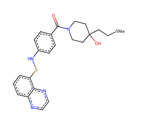 CSCCC1(O)CCN(C(=O)c2ccc(NSc3cccc4nccnc34)cc2)CC1